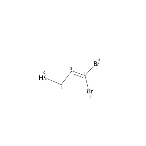 SCC=C(Br)Br